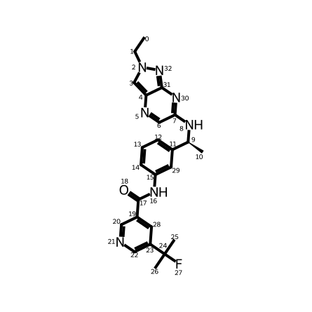 CCn1cc2ncc(N[C@@H](C)c3cccc(NC(=O)c4cncc(C(C)(C)F)c4)c3)nc2n1